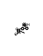 CCCCc1nc(COC)cc(=O)n1Cc1ccc(-c2ccccc2-c2nnn[nH]2)cc1